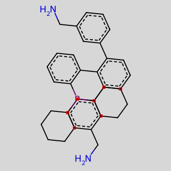 NCc1cccc(-c2cccc(-c3cccc(CN)c3)c2-c2ccccc2P(C2CCCCC2)C2CCCCC2)c1